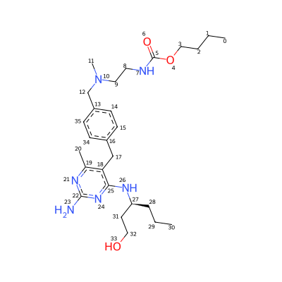 CCCCOC(=O)NCCN(C)Cc1ccc(Cc2c(C)nc(N)nc2N[C@@H](CCC)CCO)cc1